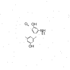 C=O.CCNc1cccc(O)c1.Cc1cc(C)cc(O)c1